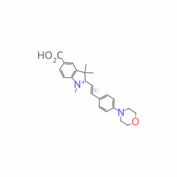 C[N+]1=C(/C=C/c2ccc(N3CCOCC3)cc2)C(C)(C)c2cc(C(=O)O)ccc21